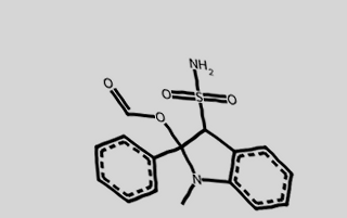 CN1c2ccccc2C(S(N)(=O)=O)C1(OC=O)c1ccccc1